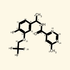 Cc1cc(C(=O)NC(C)c2ccc(F)c(OCC(F)(F)F)c2)ncn1